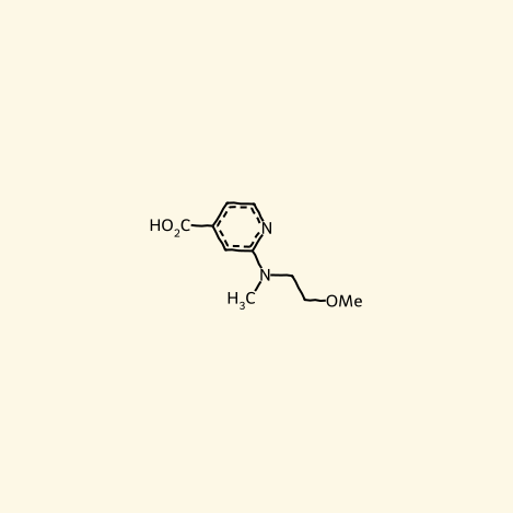 COCCN(C)c1cc(C(=O)O)ccn1